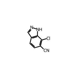 N#Cc1ccc2cn[nH]c2c1Cl